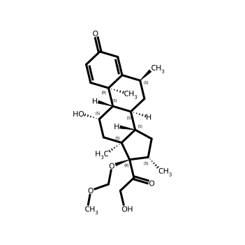 COCO[C@]1(C(=O)CO)[C@@H](C)C[C@H]2[C@@H]3C[C@H](C)C4=CC(=O)C=C[C@]4(C)[C@H]3[C@@H](O)C[C@@]21C